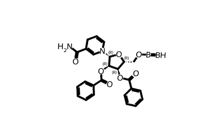 B=BOC[C@H]1O[C@@H](N2C=CCC(C(N)=O)=C2)[C@H](OC(=O)c2ccccc2)[C@@H]1OC(=O)c1ccccc1